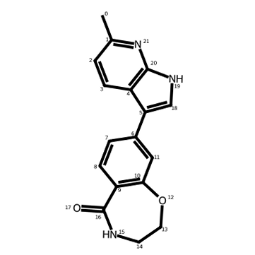 Cc1ccc2c(-c3ccc4c(c3)OCCNC4=O)c[nH]c2n1